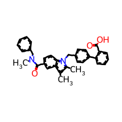 Cc1c(C)n(Cc2ccc(-c3ccccc3C(=O)O)cc2)c2ccc(C(=O)N(C)Cc3ccccc3)cc12